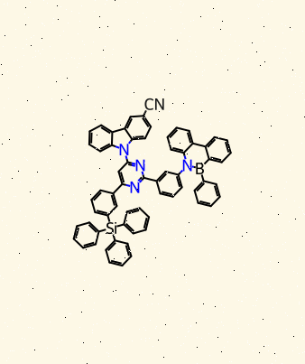 N#Cc1ccc2c(c1)c1ccccc1n2-c1cc(-c2cccc([Si](c3ccccc3)(c3ccccc3)c3ccccc3)c2)nc(-c2cccc(N3B(c4ccccc4)c4ccccc4-c4ccccc43)c2)n1